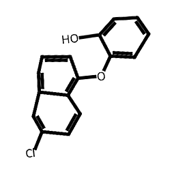 Oc1ccccc1Oc1cccc2cc(Cl)ccc12